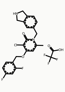 Cc1cc(OCc2ccc(F)cc2F)c(Cl)c(=O)n1Cc1ccc2c(c1)CNC2.O=C(O)C(F)(F)F